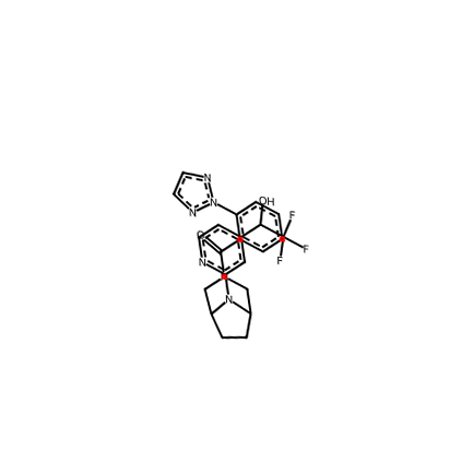 O=C(c1ccccc1-n1nccn1)N1CC2CCC(C1)N2c1cc(C(O)C(F)(F)F)ccn1